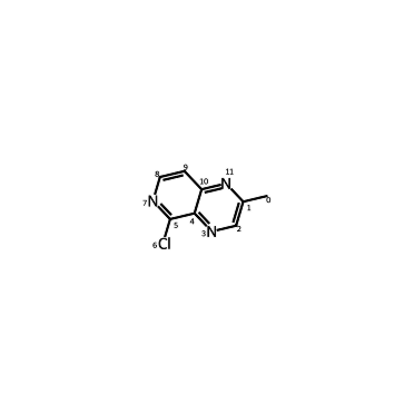 Cc1cnc2c(Cl)nccc2n1